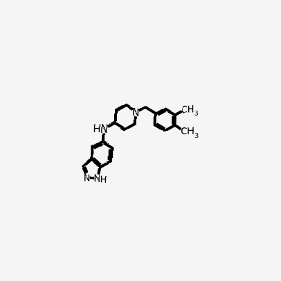 Cc1ccc(CN2CCC(Nc3ccc4[nH]ncc4c3)CC2)cc1C